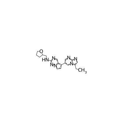 CCc1cnc2ncc(-c3ccn4nc(NCC5CCCO5)ncc34)cn12